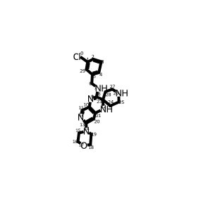 Clc1cccc(CNC2=Nc3cnc(N4CCOCC4)cc3NC23CCNCC3)c1